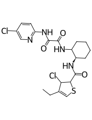 CCC1=CSC(C(=O)N[C@@H]2CCCCC2NC(=O)C(=O)Nc2ccc(Cl)cn2)C1Cl